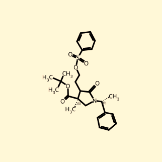 C[C@H](c1ccccc1)N1C[C@@](C)(C(=O)OC(C)(C)C)C(CCOS(=O)(=O)c2ccccc2)C1=O